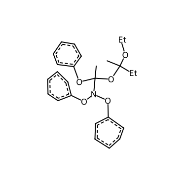 CCOC(C)(CC)OC(C)(Oc1ccccc1)N(Oc1ccccc1)Oc1ccccc1